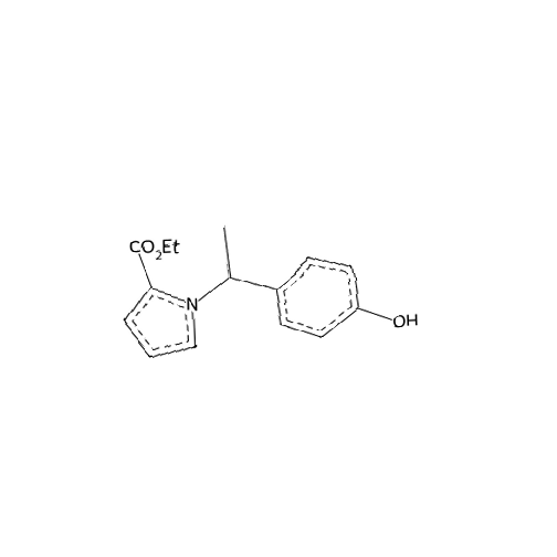 CCOC(=O)c1cccn1C(C)c1ccc(O)cc1